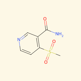 CS(=O)(=O)c1ccncc1C(N)=O